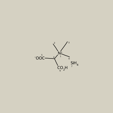 C[N+](C)(C)C(C(=O)[O-])C(=O)O.[SiH4]